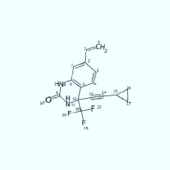 C=Cc1ccc2c(c1)NC(=O)NC2(C#CC1CC1)C(F)(F)F